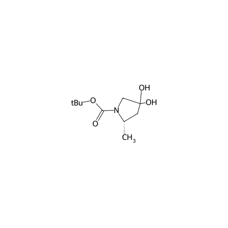 C[C@H]1CC(O)(O)CN1C(=O)OC(C)(C)C